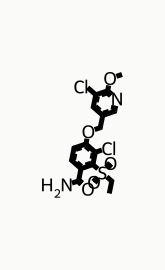 CCS(=O)(=O)c1c(C(N)=O)ccc(OCc2cnc(OC)c(Cl)c2)c1Cl